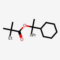 CCCC(C)(OC(=O)C(C)(C)CC)C1CCCCC1